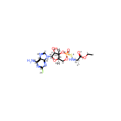 CCOC(=O)[C@H](C)NSP1(=O)OC[C@H]2O[C@@H](n3cnc4c(N)nc(F)nc43)[C@@H](O)[C@@H]2O1